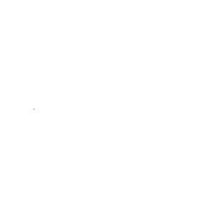 C=C(Cl)/C=c1/cc(C(C)=O)cc/c1=C/C